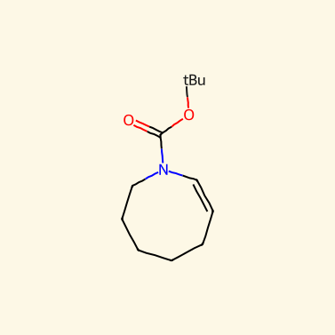 CC(C)(C)OC(=O)N1/C=C\CCCCC1